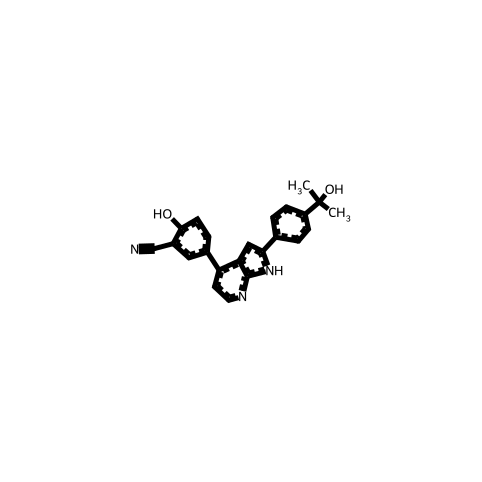 CC(C)(O)c1ccc(-c2cc3c(-c4ccc(O)c(C#N)c4)ccnc3[nH]2)cc1